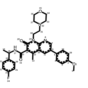 COc1ccc(-c2cnc3c(c2)c(C)c(C(=O)NC(C)c2ccc(F)cc2)c(=O)n3CCN2CCOCC2)cc1